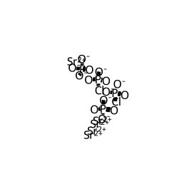 O=P([O-])([O-])Cl.O=P([O-])([O-])Cl.O=P([O-])([O-])[O-].O=P([O-])([O-])[O-].[Sr+2].[Sr+2].[Sr+2].[Sr+2].[Sr+2]